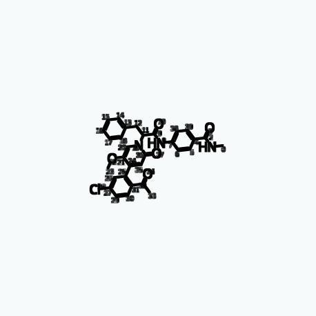 CNC(=O)c1ccc(NC(=O)C(Cc2ccccc2)n2cc(OC)c(-c3cc(Cl)ccc3C(C)=O)cc2=O)cc1